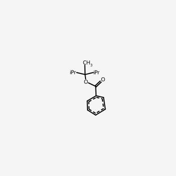 CC(C)C(C)(OC(=O)c1ccccc1)C(C)C